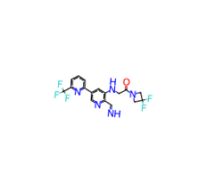 N=Cc1ncc(-c2cccc(C(F)(F)F)n2)cc1NCC(=O)N1CC(F)(F)C1